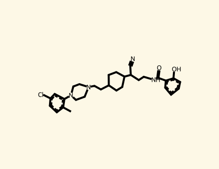 Cc1ccc(Cl)cc1N1CCN(CCC2CCC(C(C#N)CCNC(=O)c3ccccc3O)CC2)CC1